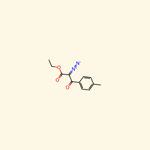 CCOC(=O)C(=[N+]=[N-])C(=O)c1ccc(C)cc1